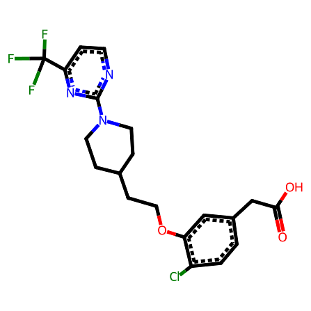 O=C(O)Cc1ccc(Cl)c(OCCC2CCN(c3nccc(C(F)(F)F)n3)CC2)c1